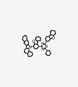 c1ccc(-c2nc(-c3ccc4c(c3)oc3ccccc34)nc(-c3ccc(-n4c5cc6ccccc6cc5c5ccc6ccccc6c54)c4oc5ccccc5c34)n2)cc1